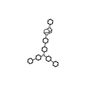 c1ccc(-c2ccc(N(c3ccc(-c4ccccc4)cc3)c3ccc(-c4ccc(N5C6CC7CC5CC(C6)N7c5ccccc5)cc4)cc3)cc2)cc1